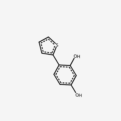 Oc1ccc(-c2cccs2)c(O)c1